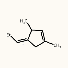 CC/C=C1/CC(C)=CC1C